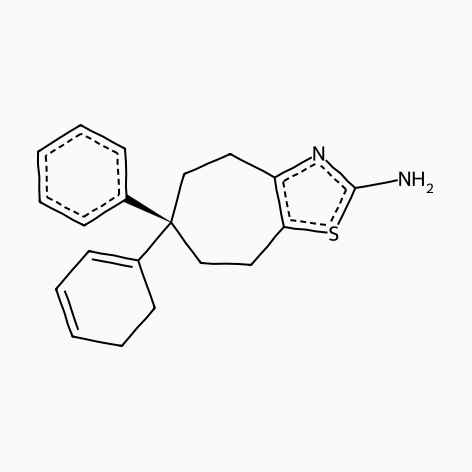 Nc1nc2c(s1)CC[C@@](C1=CC=CCC1)(c1ccccc1)CC2